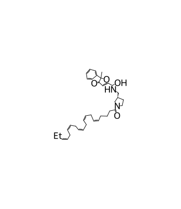 CC/C=C\C/C=C\C/C=C\C/C=C\C/C=C\CCCC(=O)N1CC[C@H](CNC(O)C2=CC(=O)C(C)(c3ccccc3)O2)C1